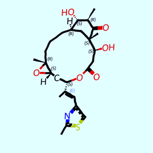 C/C(=C\c1csc(C)n1)[C@@H]1C[C@@H]2O[C@]2(C)CCC[C@@H]2C[C@](C)(C(=O)[C@H](C)[C@H]2O)[C@@H](O)CC(=O)O1